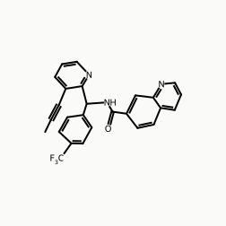 CC#Cc1cccnc1C(NC(=O)c1ccc2cccnc2c1)c1ccc(C(F)(F)F)cc1